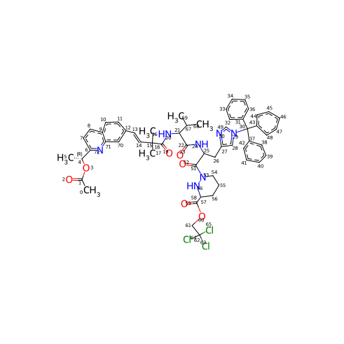 CC(=O)O[C@H](C)c1ccc2ccc(C=CC(C)(C)C(=O)NC(C(=O)NC(Cc3cn(C(c4ccccc4)(c4ccccc4)c4ccccc4)cn3)C(=O)N3CCCC(C(=O)OCC(Cl)(Cl)Cl)N3)C(C)C)cc2n1